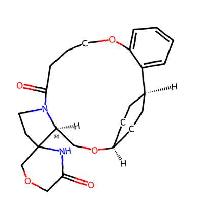 O=C1COCC2(CCN3C(=O)CCCOc4ccccc4[C@H]4CC[C@H](CC4)OC[C@H]32)N1